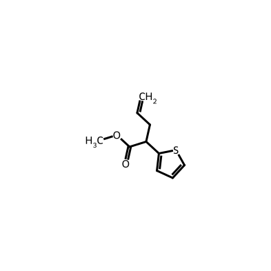 C=CCC(C(=O)OC)c1cccs1